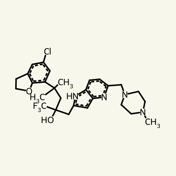 CN1CCN(Cc2ccc3[nH]c(CC(O)(CC(C)(C)c4cc(Cl)cc5c4OCC5)C(F)(F)F)cc3n2)CC1